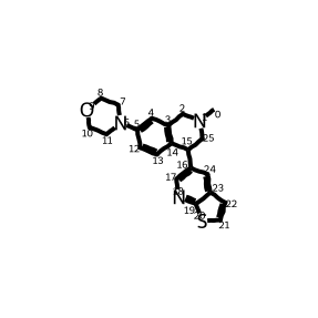 CN1Cc2cc(N3CCOCC3)ccc2C(c2cnc3sccc3c2)C1